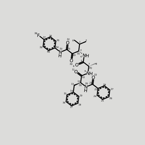 CC(C)[C@H](NC(=O)[C@H](C)NC(=O)[C@H](Cc1ccccc1)NC(=O)c1ccccc1)C(=O)C(=O)Nc1ccc(F)cc1